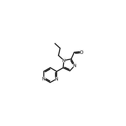 CCCn1c(-c2ccncn2)cnc1C=O